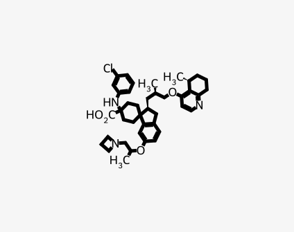 CC(CN1CCC1)Oc1ccc2c(c1)C1(CCC(Nc3cccc(Cl)c3)(C(=O)O)CC1)[C@@H](C[C@@H](C)COc1ccnc3c1[C@H](C)CCC3)C2